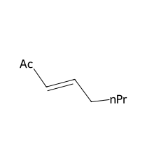 CCCCC=CC(C)=O